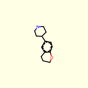 c1cc2c(cc1C1CC[N]CC1)CCCO2